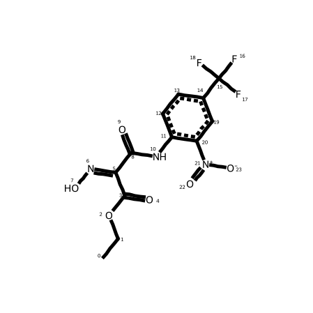 CCOC(=O)/C(=N\O)C(=O)Nc1ccc(C(F)(F)F)cc1[N+](=O)[O-]